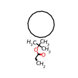 C1CCCCCCCCCCCCCCC1.C=CC(=O)OC(C)(C)C